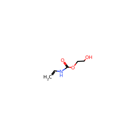 C=CNC(=O)OCCO